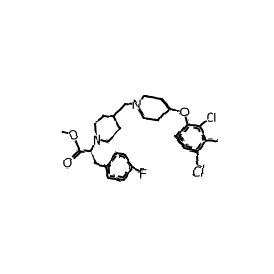 COC(=O)[C@H](Cc1ccc(F)cc1)N1CCC(CN2CCC(Oc3ccc(Cl)c(C)c3Cl)CC2)CC1